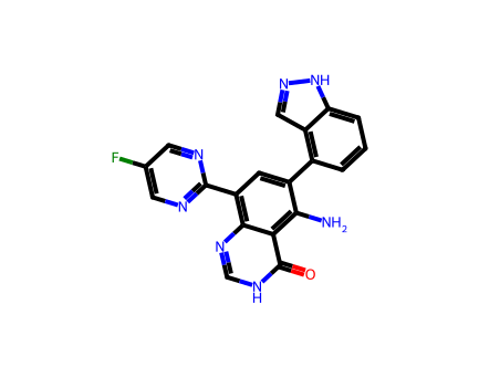 Nc1c(-c2cccc3[nH]ncc23)cc(-c2ncc(F)cn2)c2nc[nH]c(=O)c12